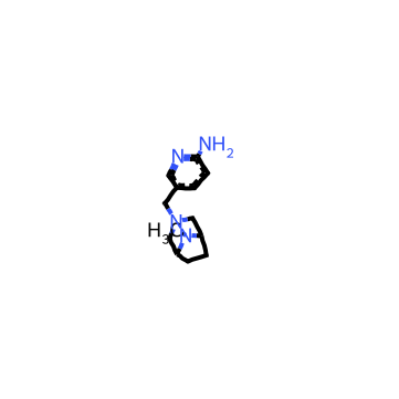 CN1C2CCC1CN(Cc1ccc(N)nc1)C2